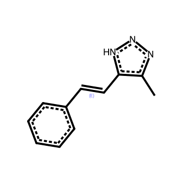 Cc1nn[nH]c1/C=C/c1ccccc1